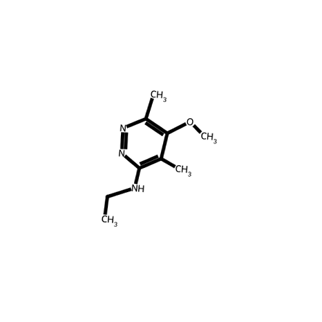 CCNc1nnc(C)c(OC)c1C